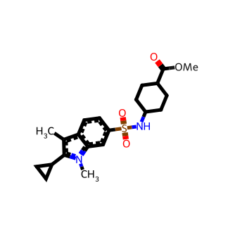 COC(=O)C1CCC(NS(=O)(=O)c2ccc3c(C)c(C4CC4)n(C)c3c2)CC1